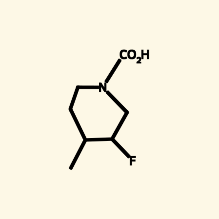 CC1CCN(C(=O)O)CC1F